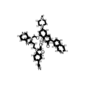 CN1CCN(c2cc(OCn3c(CCn4c(=O)oc5cc(C#N)ccc54)nc4ccncc43)c3[nH]c(=O)c(-c4ccc5ccncc5c4)cc3c2)CC1